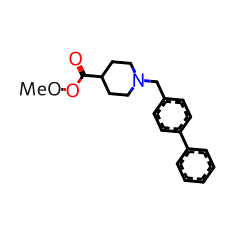 COOC(=O)C1CCN(Cc2ccc(-c3ccccc3)cc2)CC1